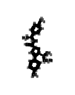 CCOC(=O)N(C)[C@H]1CN(C(=O)N[C@H](C)c2cnc(C(F)(F)F)nc2)N=C1c1ccc(C)cc1